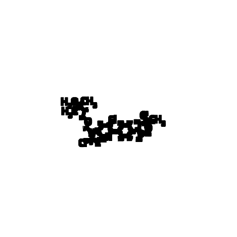 C[Si](C)(C)CCOCn1c(Cl)cc2nc(-c3ccc(C4(CS(C)(=O)=O)CC4)cc3)c(Cl)cc21